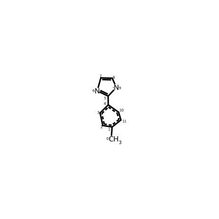 Cc1ccc(C2=NC=C[N]2)cc1